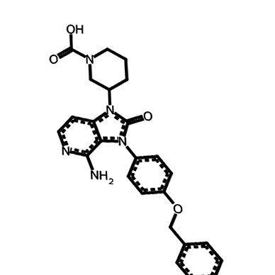 Nc1nccc2c1n(-c1ccc(OCc3ccccc3)cc1)c(=O)n2C1CCCN(C(=O)O)C1